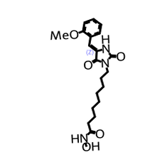 COc1ccccc1/C=C1\NC(=O)N(CCCCCCCCC(=O)NO)C1=O